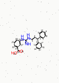 N=C(NCCC(c1ccccc1)c1ccccc1)Nc1cccc(C(=O)O)c1